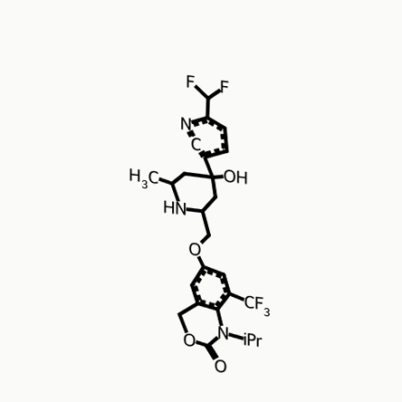 CC1CC(O)(c2ccc(C(F)F)nc2)CC(COc2cc3c(c(C(F)(F)F)c2)N(C(C)C)C(=O)OC3)N1